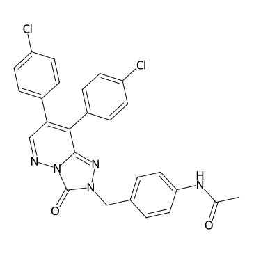 CC(=O)Nc1ccc(Cn2nc3c(-c4ccc(Cl)cc4)c(-c4ccc(Cl)cc4)cnn3c2=O)cc1